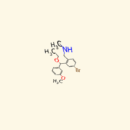 CCOC(c1cccc(OC)c1)c1cc(Br)ccc1CNC